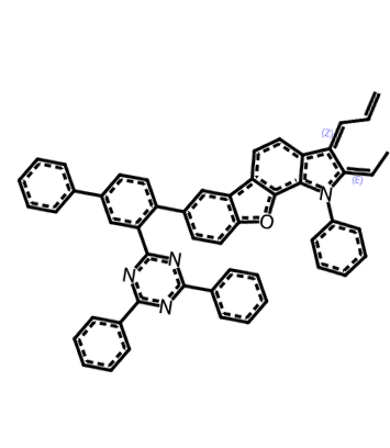 C=C/C=c1\c(=C/C)n(-c2ccccc2)c2c1ccc1c3cc(-c4ccc(-c5ccccc5)cc4-c4nc(-c5ccccc5)nc(-c5ccccc5)n4)ccc3oc12